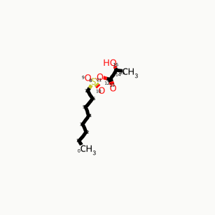 CCCCCCCCS(=O)(=O)OC(=O)C(C)O